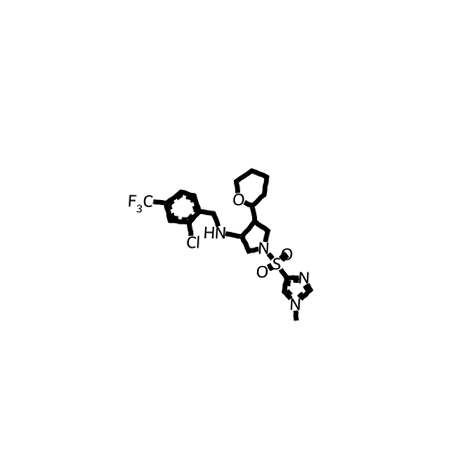 Cn1cnc(S(=O)(=O)N2CC(NCc3ccc(C(F)(F)F)cc3Cl)C(C3CCCCO3)C2)c1